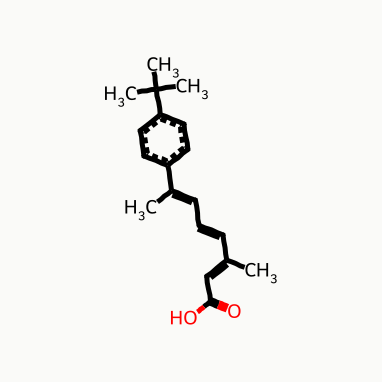 CC(C=CC=C(C)c1ccc(C(C)(C)C)cc1)=CC(=O)O